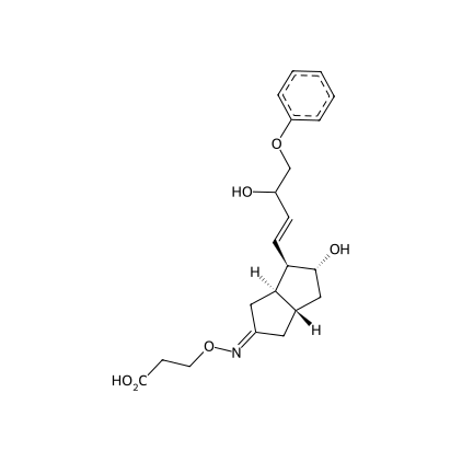 O=C(O)CCON=C1C[C@H]2C[C@@H](O)[C@H](C=CC(O)COc3ccccc3)[C@@H]2C1